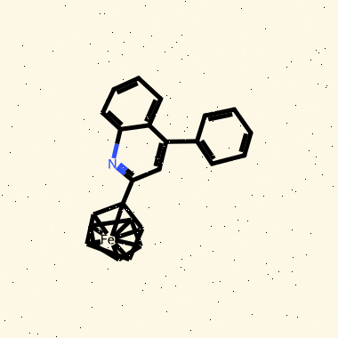 c1ccc(-c2cc([C]34[CH]5[CH]6[CH]7[CH]3[Fe]6754389%10[CH]4[CH]3[CH]8[CH]9[CH]4%10)nc3ccccc23)cc1